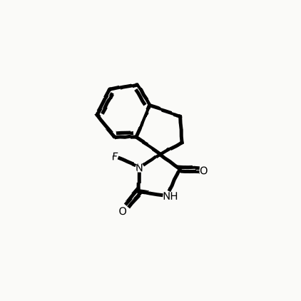 O=C1NC(=O)C2(CCc3ccccc32)N1F